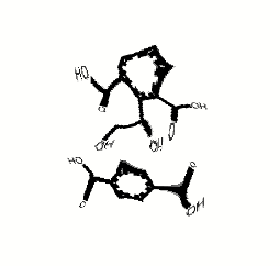 O=C(O)c1ccc(C(=O)O)cc1.O=C(O)c1cccc(C(=O)O)c1C(O)CO